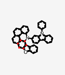 c1ccc(-n2c3ccccc3c3ccc(N(c4cccc5oc6ccccc6c45)c4cccc5ccc6ccc7ccccc7c6c45)cc32)cc1